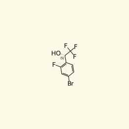 O[C@@H](c1ccc(Br)cc1F)C(F)(F)F